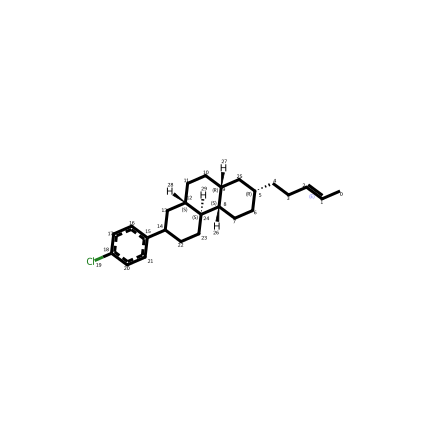 C/C=C/CC[C@@H]1CC[C@H]2[C@H](CC[C@H]3CC(c4ccc(Cl)cc4)CC[C@@H]32)C1